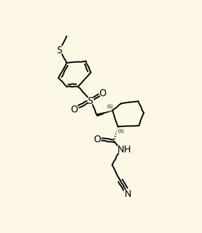 CSc1ccc(S(=O)(=O)C[C@H]2CCCC[C@@H]2C(=O)NCC#N)cc1